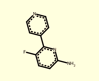 Nc1ccc(F)c(-c2ccncc2)n1